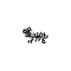 O=C(N[C@@H]1C(=O)N2C(C(=O)OC(c3ccccc3)c3ccccc3)=C(CCl)CS[C@@H]12)C(=NOC(F)F)c1csc(NC(c2ccccc2)(c2ccccc2)c2ccccc2)n1